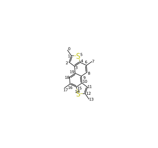 Cc1cc2c(s1)c(C)cc1c3cc(C)sc3c(C)cc21